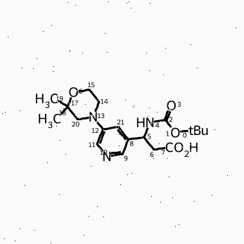 CC(C)(C)OC(=O)NC(CC(=O)O)c1cncc(N2CCOC(C)(C)C2)c1